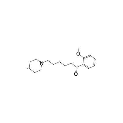 COc1ccccc1C(=O)CCCCCN1CC[CH]CC1